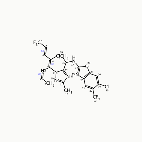 C\C=N/C(=C(Cl)\C=C\C(F)(F)F)n1nc(C)nc1C(C)Nc1nc2cc(C(F)(F)F)c(Cl)cc2o1